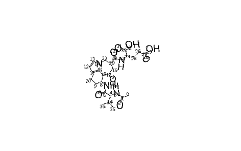 CC(=O)NC(C(=O)N[C@H]1CCc2ccn3c2C1C(=O)C[C@H](C(=O)NC(CCC(=O)O)C(=O)O)C3)C(C)C